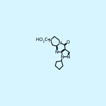 O=C(O)N1CCn2c(nc3c(cnn3C3CCCC3)c2=O)C1